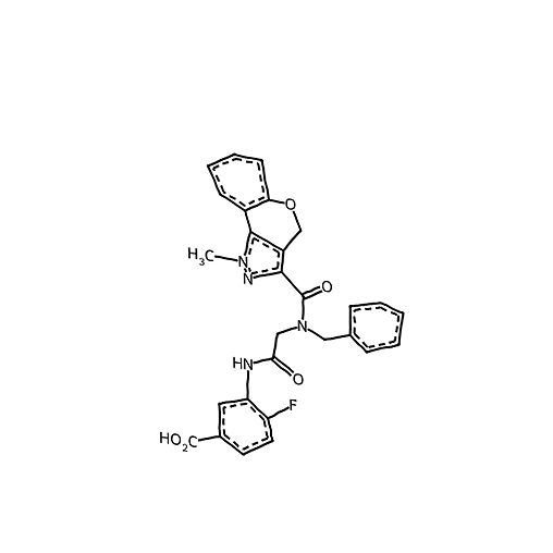 Cn1nc(C(=O)N(CC(=O)Nc2cc(C(=O)O)ccc2F)Cc2ccccc2)c2c1-c1ccccc1OC2